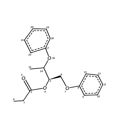 CCC(=O)O[C@H](COc1ccccc1)C(C)Oc1ccccc1